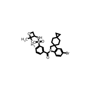 CC1(C)OCC1NS(=O)(=O)c1cccc(C(=O)N2CC3(CCC4(CC4)CC3)c3cc(Br)ccc32)c1